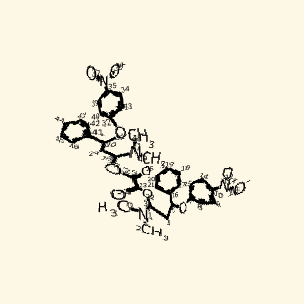 CN(C)C(CC(Oc1ccc([N+](=O)[O-])cc1)c1ccccc1)OC(=O)C(=O)OC(CC(Oc1ccc([N+](=O)[O-])cc1)c1ccccc1)N(C)C